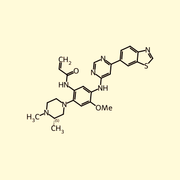 C=CC(=O)Nc1cc(Nc2cc(-c3ccc4ncsc4c3)ncn2)c(OC)cc1N1CCN(C)[C@@H](C)C1